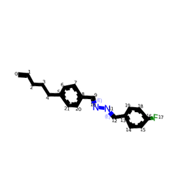 C=CCCCc1ccc(/C=N/N=C/c2ccc(F)cc2)cc1